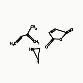 C1NN1.C=CC(=C)C.O=C1C=CC(=O)O1